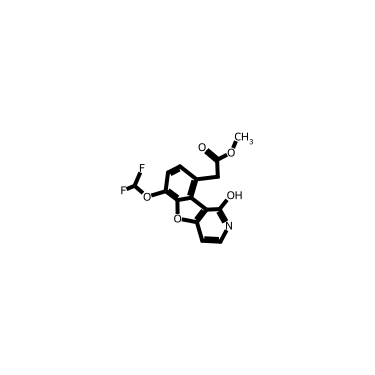 COC(=O)Cc1ccc(OC(F)F)c2oc3ccnc(O)c3c12